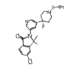 CC(C)SN1CCC(F)(c2cncc(N3C(=O)c4ccc(Cl)cc4C3(C)C)c2)CC1